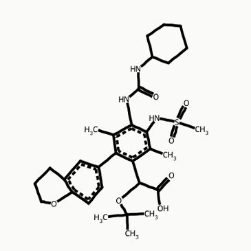 Cc1c(NC(=O)NC2CCCCC2)c(NS(C)(=O)=O)c(C)c(C(OC(C)(C)C)C(=O)O)c1-c1ccc2c(c1)CCCO2